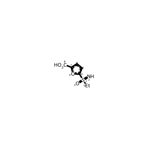 CCS(=N)(=O)c1ccc(C(=O)O)o1